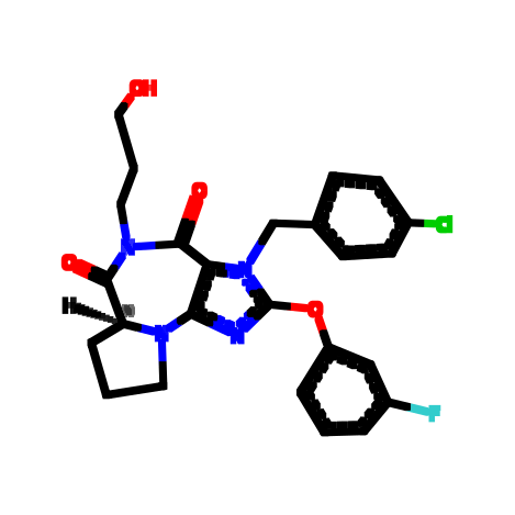 O=C1c2c(nc(Oc3cccc(F)c3)n2Cc2ccc(Cl)cc2)N2CCC[C@H]2C(=O)N1CCCO